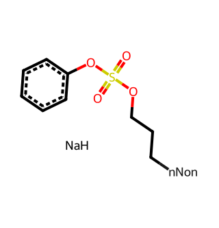 CCCCCCCCCCCCOS(=O)(=O)Oc1ccccc1.[NaH]